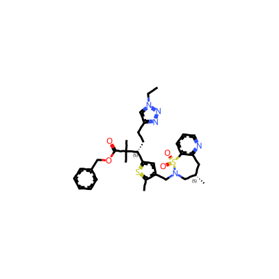 CCn1cc(CC[C@H](c2cc(CN3C[C@@H](C)Cc4ncccc4S3(=O)=O)c(C)s2)C(C)(C)C(=O)OCc2ccccc2)nn1